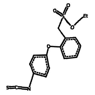 CCOS(=O)(=O)Cc1ccccc1Oc1ccc(N=C=S)cc1